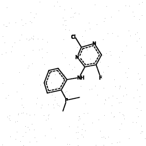 CP(C)c1ccccc1Nc1nc(Cl)ncc1F